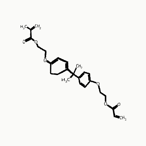 C=CC(=O)OCCOc1ccc(C(C)(C)C2=CC=C(OCCOC(=O)C(=C)C)CC2)cc1